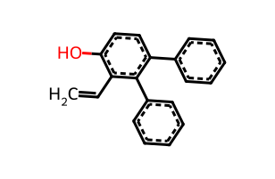 C=Cc1c(O)ccc(-c2ccccc2)c1-c1ccccc1